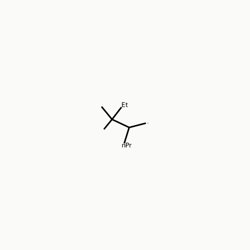 [CH2]C(CCC)C(C)(C)CC